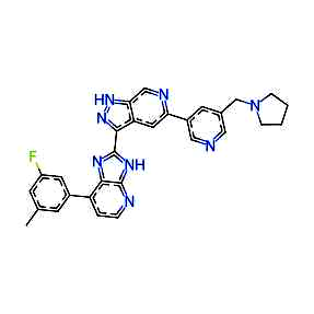 Cc1cc(F)cc(-c2ccnc3[nH]c(-c4n[nH]c5cnc(-c6cncc(CN7CCCC7)c6)cc45)nc23)c1